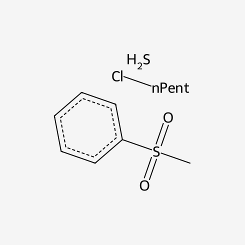 CCCCCCl.CS(=O)(=O)c1ccccc1.S